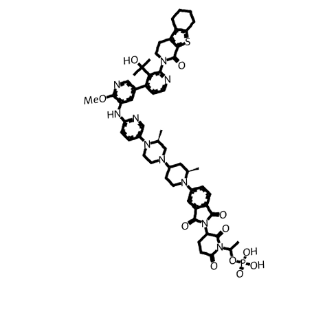 COc1ncc(-c2ccnc(N3CCc4c(sc5c4CCCC5)C3=O)c2C(C)(C)O)cc1Nc1ccc(N2CCN(C3CCN(c4ccc5c(c4)C(=O)N(C4CCC(=O)N(C(C)OP(=O)(O)O)C4=O)C5=O)[C@H](C)C3)C[C@@H]2C)cn1